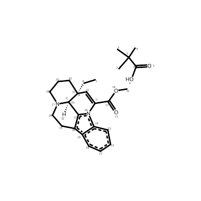 CC(C)(C)C(=O)O.CC[C@@]12C=C(C(=O)OC)n3c4c(c5ccccc53)CCN(CCC1)[C@H]42